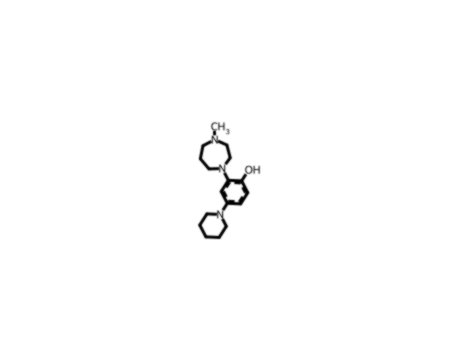 CN1CCCN(c2cc(N3CCCCC3)ccc2O)CC1